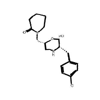 Cl.O=C1CCCCN1C[C@H]1CN[C@@H](Cc2ccc(Cl)cc2)CO1